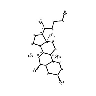 CC[C@@H]1C2C[C@H](O)CC[C@]2(C)C2CC[C@@]3(C)C(CC[C@@H]3[C@H](C)CCCO)C2[C@H]1O